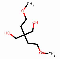 COCCC(CO)(CO)CCOC